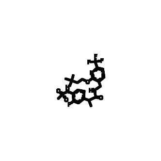 CC(C(=O)NCc1ccc(C(F)(F)F)nc1OCCC(C)(C)C)c1ccc(NS(C)(=O)=O)c(F)c1